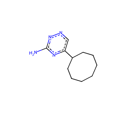 Nc1nncc(C2CCCCCCC2)n1